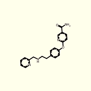 NC(=O)c1ccc(Oc2ccc(CCNCc3ccccn3)cc2)nc1